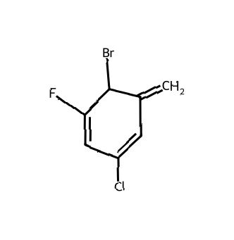 C=C1C=C(Cl)C=C(F)C1Br